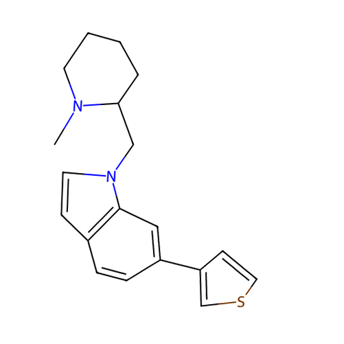 CN1CCCCC1Cn1ccc2ccc(-c3ccsc3)cc21